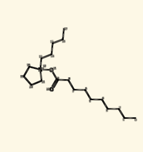 CCCCCCCCCC(=O)O[N+]1(CCCCC)CCCC1